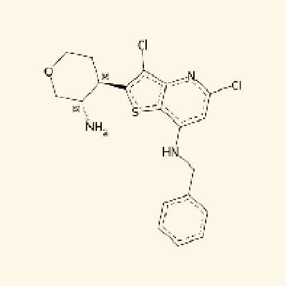 N[C@@H]1COCC[C@H]1c1sc2c(NCc3ccccc3)cc(Cl)nc2c1Cl